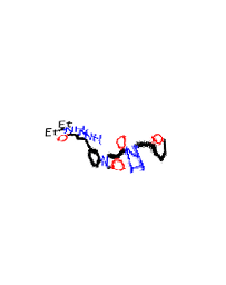 CCC(CC)NC(=O)c1cc(-c2cccc(N3C=C(C(=O)NCC4CCCCO4)OC3)c2)[nH]n1